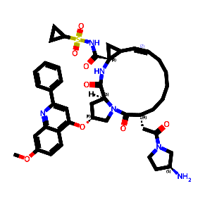 COc1ccc2c(O[C@@H]3C[C@H]4C(=O)N[C@]5(C(=O)NS(=O)(=O)C6CC6)CC5/C=C\CCCCC[C@H](CC(=O)N5CC[C@H](N)C5)C(=O)N4C3)cc(-c3ccccc3)nc2c1